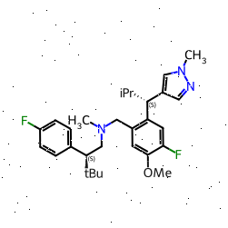 COc1cc(CN(C)C[C@H](c2ccc(F)cc2)C(C)(C)C)c([C@@H](c2cnn(C)c2)C(C)C)cc1F